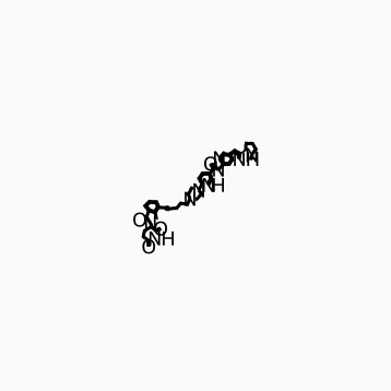 CN1CCC[C@@H]1c1cc2cnc(NC(=O)c3ccc(N4CCN(CCCC#Cc5cccc6c5CN(C5CCC(=O)NC5=O)C6=O)CC4)nc3)cc2[nH]1